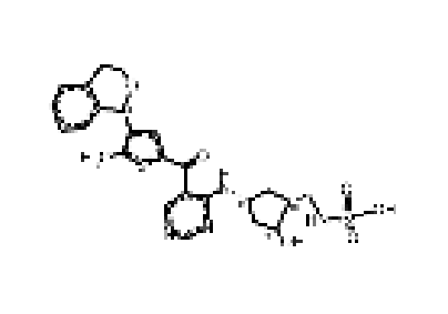 Cc1sc(C(=O)c2cncnc2N[C@@H]2C[C@H](CNS(=O)(=O)O)[C@@H](O)C2)cc1[C@@H]1OCCc2ccccc21